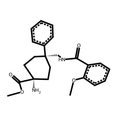 COc1ccccc1C(=O)NC[C@]1(c2ccccc2)CC[C@@](N)(C(=O)OC)CC1